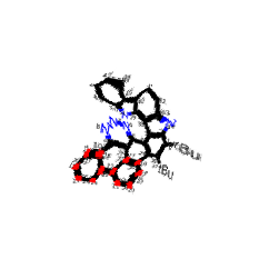 CC(C)(C)c1c2c(c(-c3nnnc(-c4ccccc4)c3-c3ccccc3-c3ccccc3)c(-c3ccccc3)c1C(C)(C)C)-c1c3c(ccc1=N2)=c1ccccc1=N3